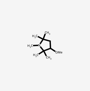 COC1CC(C)(C)N(C)C1(C)C